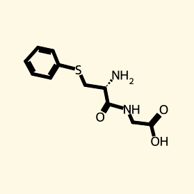 N[C@@H](CSc1ccccc1)C(=O)NCC(=O)O